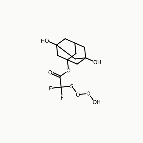 O=C(OC12CC3CC(O)(CC(O)(C3)C1)C2)C(F)(F)SOOO